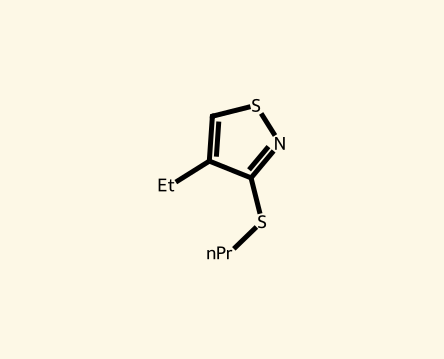 CCCSc1nscc1CC